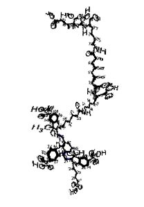 CC1(C)C(/C=C/C2=C(Oc3ccc(S(=O)(=O)O)cc3)C(=C/C=C3/N(CCCCS(=O)(=O)O)c4ccc(S(=O)(=O)O)cc4C3(C)C)/CCC2)=[N+](CCCCCC(=O)NCCCCC(NC(=O)CCCCCCC(=O)NCCCCC(NC(=O)N[C@@H](CCC(=O)O)C(=O)O)C(=O)O)C(=O)O)c2ccc(S(=O)(=O)O)cc21